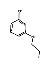 FCCNc1cccc(Br)n1